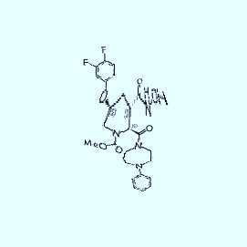 COC(=O)N1C[C@@H](Oc2ccc(F)c(F)c2)C[C@H](C(=O)NO)[C@H]1C(=O)N1CCN(c2ccccc2)CC1